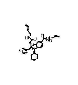 C=CCCNC(=O)Cn1c(-c2ccoc2)c(C2CCCCC2)c2ccc(C(=O)NCCC=C)cc21